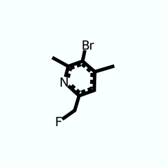 Cc1cc(CF)nc(C)c1Br